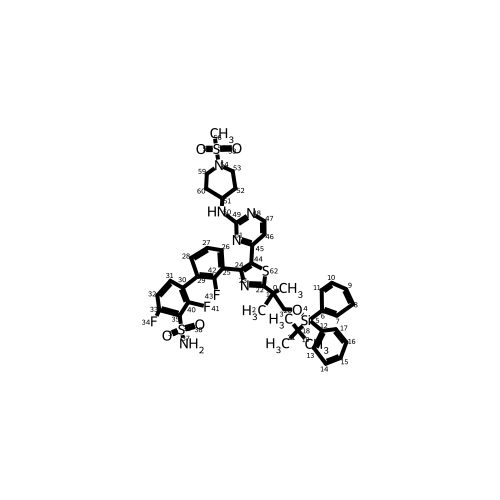 CC(C)(CO[Si](c1ccccc1)(c1ccccc1)C(C)(C)C)c1nc(-c2cccc(-c3ccc(F)c(S(N)(=O)=O)c3F)c2F)c(-c2ccnc(NC3CCN(S(C)(=O)=O)CC3)n2)s1